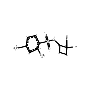 Cc1ccc(S(=O)(=O)OC2CCC2(F)F)c(C)c1